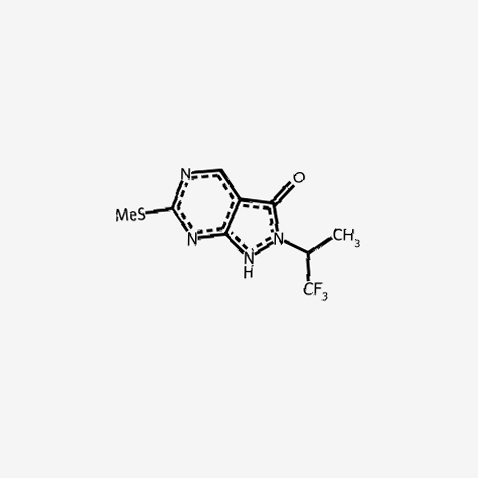 CSc1ncc2c(=O)n(C(C)C(F)(F)F)[nH]c2n1